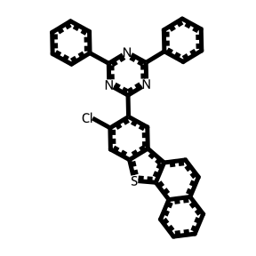 Clc1cc2sc3c4ccccc4ccc3c2cc1-c1nc(-c2ccccc2)nc(-c2ccccc2)n1